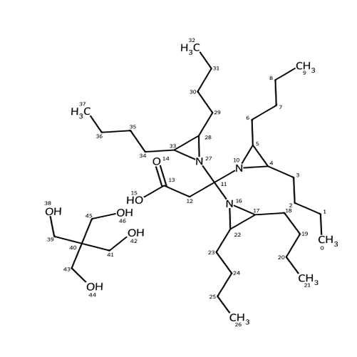 CCCCC1C(CCCC)N1C(CC(=O)O)(N1C(CCCC)C1CCCC)N1C(CCCC)C1CCCC.OCC(CO)(CO)CO